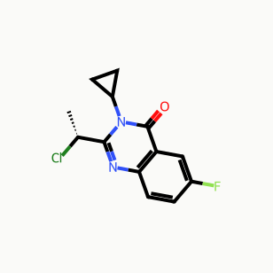 C[C@@H](Cl)c1nc2ccc(F)cc2c(=O)n1C1CC1